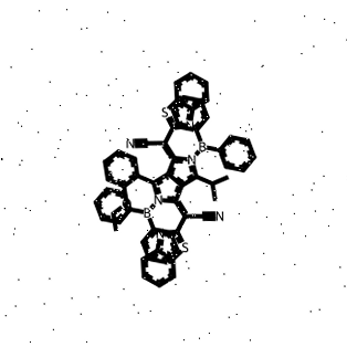 CCOc1ccccc1-c1c2/c(=C(\C#N)c3nc4ccccc4s3)n(B(c3ccccc3)c3ccccc3)c(C(C)C)c2/c(=C(\C#N)c2nc3ccccc3s2)n1B(c1ccccc1)c1ccccc1